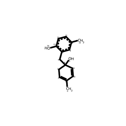 CC1=CCC(O)(Cc2cc(C)ccc2O)C=C1